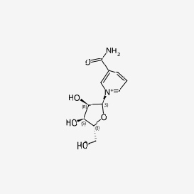 NC(=O)c1ccc[n+]([C@H]2O[C@H](CO)[C@@H](O)[C@H]2O)c1